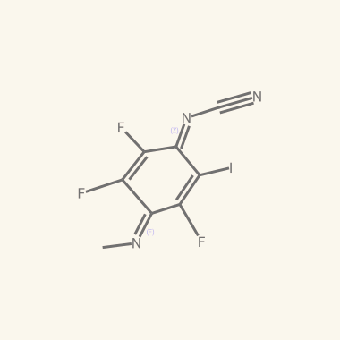 C/N=C1C(F)=C(F)/C(=N/C#N)C(I)=C\1F